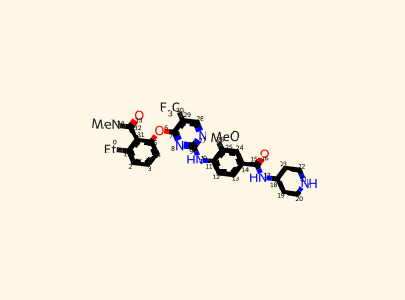 CCc1cccc(Oc2nc(Nc3ccc(C(=O)NC4CCNCC4)cc3OC)ncc2C(F)(F)F)c1C(=O)NC